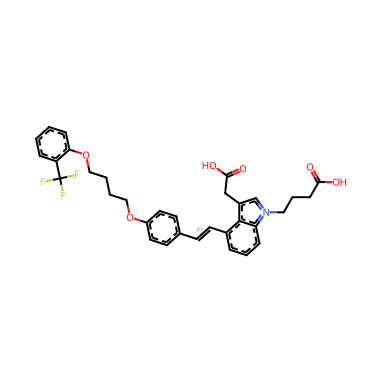 O=C(O)CCCn1cc(CC(=O)O)c2c(/C=C/c3ccc(OCCCCOc4ccccc4C(F)(F)F)cc3)cccc21